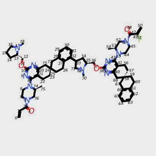 C=CC(=O)N1CCN(c2nc(OC[C@@H]3CCCN3C)nc3c2CC[C@@]2(CCc4c(cccc4C4C[C@@H](COc5nc6c(c(N7CCN(C(=O)C(=C)F)C[C@@H]7C)n5)CC[C@@]5(CCc7ccccc7C5)C6)N(C)C4)C2)C3)[C@@H](C)C1